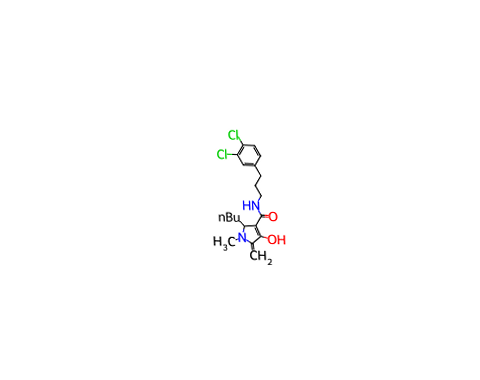 C=C1C(O)=C(C(=O)NCCCc2ccc(Cl)c(Cl)c2)C(CCCC)N1C